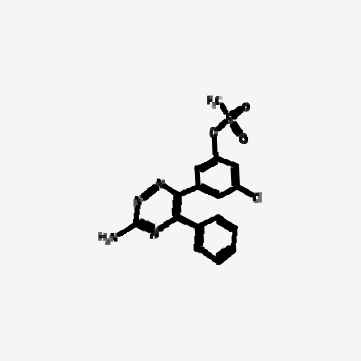 Nc1nnc(-c2cc(Cl)cc(OS(=O)(=O)C(F)(F)F)c2)c(-c2ccccc2)n1